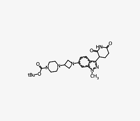 Cn1nc(C2CCC(=O)NC2=O)c2ccc(N3CC(N4CCN(C(=O)OC(C)(C)C)CC4)C3)cc21